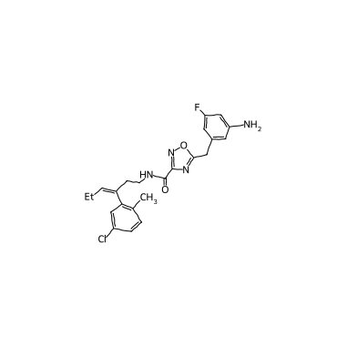 CC/C=C(/CCNC(=O)c1noc(Cc2cc(N)cc(F)c2)n1)c1cc(Cl)ccc1C